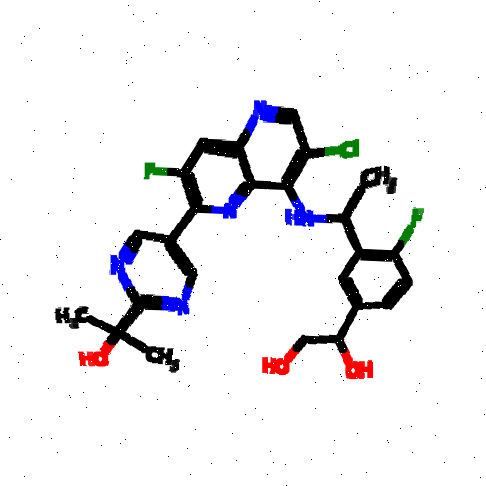 CC(Nc1c(Cl)cnc2cc(F)c(-c3cnc(C(C)(C)O)nc3)nc12)c1cc(C(O)CO)ccc1F